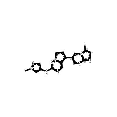 Cn1cc(Nc2ncc3c(-c4cnc5ncc(Cl)n5c4)ccn3n2)cn1